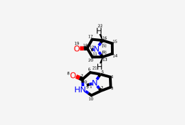 CN1C2CCC1CC(=O)NC2.CN1[C@@H]2CC[C@H]1CC(=O)C2